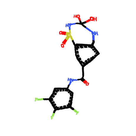 O=C(Nc1cc(F)c(F)c(F)c1)c1ccc2c(c1)S(=O)(=O)NC(O)(O)N2